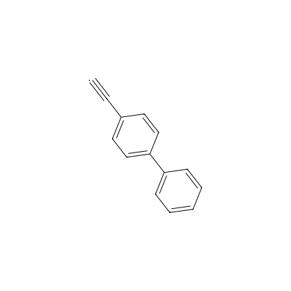 [C]#Cc1ccc(-c2ccccc2)cc1